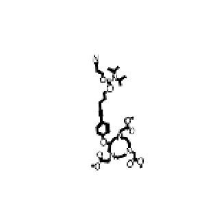 COC(=O)CN1CCN(CC(=O)OC)CC(Oc2ccc(C#CCCCOP(OCCC#N)N(C(C)C)C(C)C)cc2)CN(CC(=O)OC)CC1